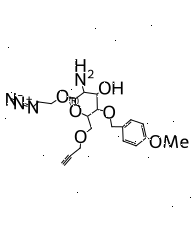 C#CCOCC1O[C@@H](OCCN=[N+]=[N-])C(N)C(O)C1OCc1ccc(OC)cc1